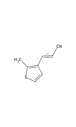 Cc1sccc1/C=C/C#N